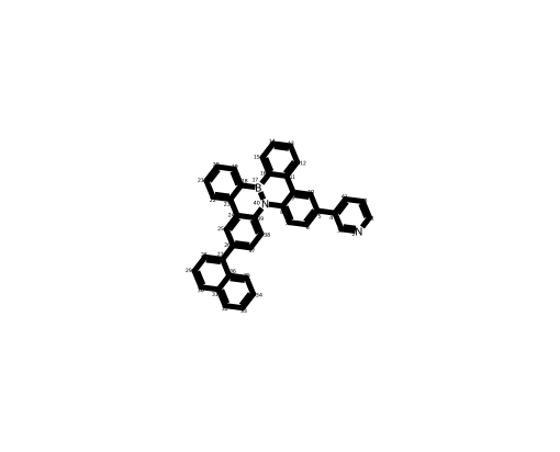 c1cncc(-c2ccc3c(c2)-c2ccccc2B2c4ccccc4-c4cc(-c5cccc6ccccc56)ccc4N23)c1